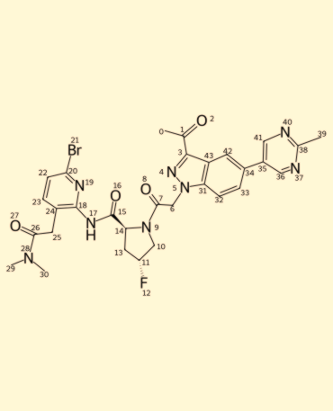 CC(=O)c1nn(CC(=O)N2C[C@H](F)C[C@H]2C(=O)Nc2nc(Br)ccc2CC(=O)N(C)C)c2ccc(-c3cnc(C)nc3)cc12